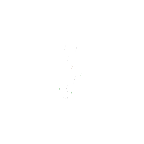 CC(F)(F)c1ccc(SCc2ccccc2)c(F)c1